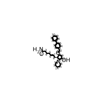 NC(=O)CCC/C=C/C[C@@H]1[C@@H](N2CCCCC2)[C@H](O)C[C@@H]1OCc1ccc(-c2ccccc2)cc1